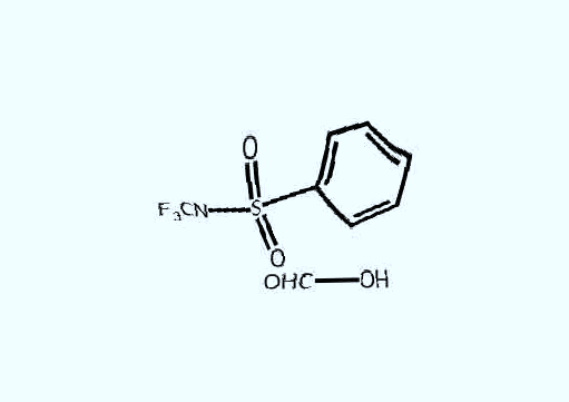 O=CO.O=S(=O)(NC(F)(F)F)c1ccccc1